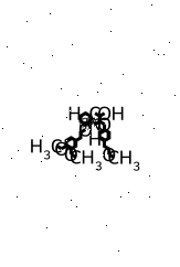 COCCc1ccc(OC(N[C@H]2CCCC[C@H]2OCCc2ccc(OC)c(OC)c2)C(C)O)cc1